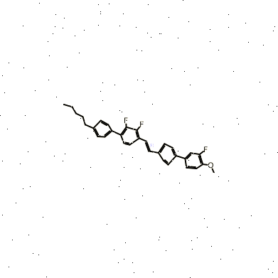 CCCCCc1ccc(-c2ccc(/C=C/c3ccc(-c4ccc(OC)c(F)c4)cc3)c(F)c2F)cc1